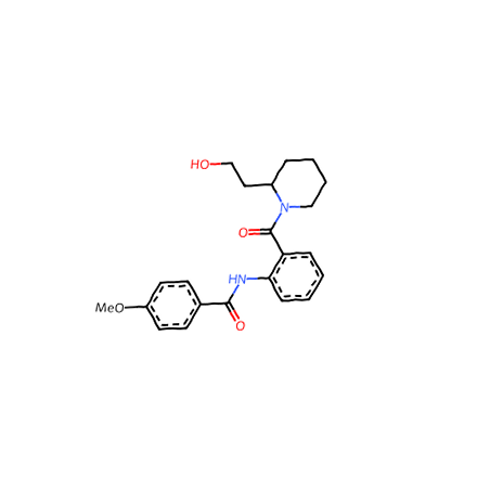 COc1ccc(C(=O)Nc2ccccc2C(=O)N2CCCCC2CCO)cc1